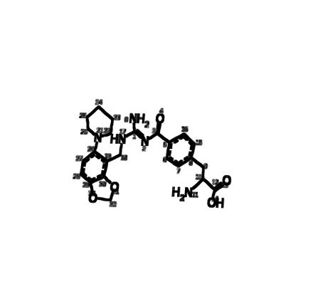 NC(=NC(=O)c1ccc(CC(N)C(=O)O)cc1)NCc1c(N2CCCCC2)ccc2c1OCO2